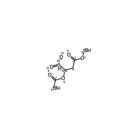 CC(C)(C)OC(=O)CN(OC(=O)C(C)(C)C)[SH](=O)=O